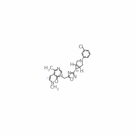 C=N/C=C\c1c(C)ncn(Cc2nc([C@H]3[C@@H]4CN(c5cccc(Cl)c5)C[C@@H]43)no2)c1=O